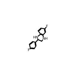 Fc1ccc(C2CNc3cc(F)ccc3N2)cc1